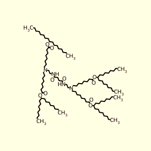 CCCCCCCCC(CCCCCCCC)OC(=O)CCCCCCCN(CCCCCCCC(=O)OC(CCCCCCCC)CCCCCCCC)CCNC(=O)CCC(=O)NCCN(CCCCCCCC(=O)OC(CCCCCCCC)CCCCCCCC)CCCCCCCC(=O)OC(CCCCCCCC)CCCCCCCC